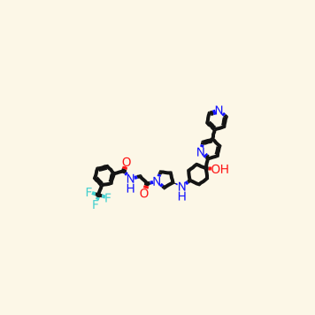 O=C(NCC(=O)N1CC[C@H](NC2CCC(O)(c3ccc(-c4ccncc4)cn3)CC2)C1)c1cccc(C(F)(F)F)c1